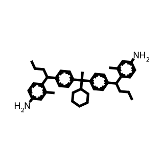 CCCC(c1ccc(C(C)(c2ccc(C(CCC)c3ccc(N)cc3C)cc2)C2CCCCC2)cc1)c1ccc(N)cc1C